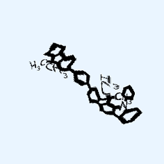 CC1(C)c2ccccc2-c2ccc(-c3ccc(-c4ccc5c(c4)C(C)(C)c4c-5ccc5c6ccccc6n(-c6ccccc6)c45)cc3)cc21